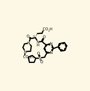 CCOC(=O)N1CCN(C(=O)[C@H](CCC(=O)O)NC(=O)c2cc(CS(=O)(=O)C3CCCC3)nc(-c3ccccc3)n2)CC1